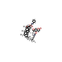 CC(C)=CCC/C(C)=C/COc1c2ccoc2cc2oc(=O)ccc12.CC1(C)CC[C@]2(C)CC[C@]3(C)C(=CC[C@@H]4[C@@]5(C)CC[C@H](OC(=O)/C=C/c6ccccc6)C(C)(C)[C@@H]5CC[C@]43C)[C@@H]2C1